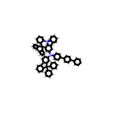 c1ccc(-c2ccc(-c3ccc(N(c4ccc5c(c4)C(c4ccccc4)(c4ccccc4)c4ccccc4-5)c4cc5c6c(c4)c4ccccc4n6-c4ccccc4C54c5ccccc5-c5ccccc54)cc3)cc2)cc1